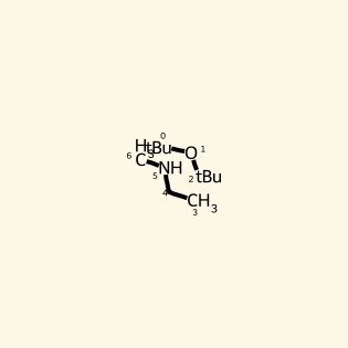 CC(C)(C)OC(C)(C)C.CCNC